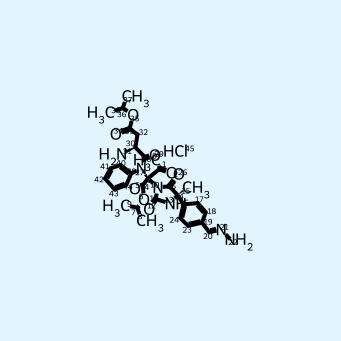 CC(=O)[C@@](C(=O)OC(C)C)(N1C(=O)N[C@](C)(c2ccc(C=NN)cc2)C1=O)N(C(=O)[C@@H](N)CC(=O)OC(C)C)c1ccccc1.Cl